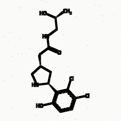 C[C@@H](O)CNC(=O)C[C@H]1CN[C@@H](c2c(O)ccc(Cl)c2Cl)C1